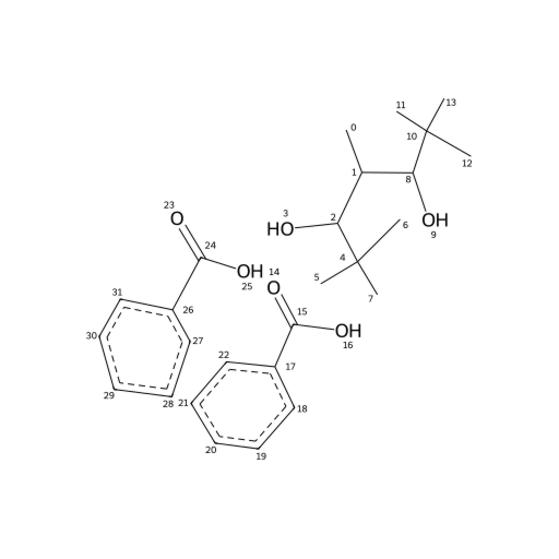 CC(C(O)C(C)(C)C)C(O)C(C)(C)C.O=C(O)c1ccccc1.O=C(O)c1ccccc1